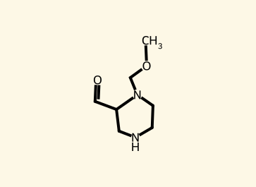 COCN1CCNCC1C=O